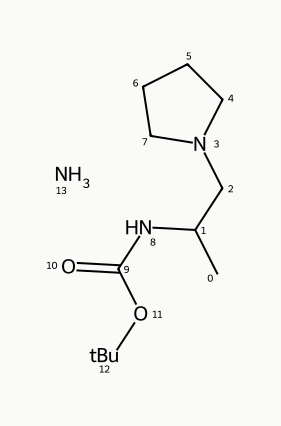 CC(CN1CCCC1)NC(=O)OC(C)(C)C.N